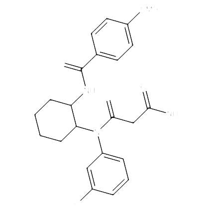 CSc1ccc(C(=O)NC2CCCCC2N(C(=O)CC(N)=O)c2cccc(C(F)(F)F)c2)cc1